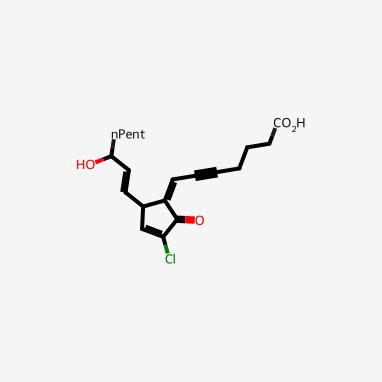 CCCCCC(O)C=CC1C=C(Cl)C(=O)C1=CC#CCCCC(=O)O